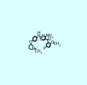 CCN1CCCC(Oc2ccc(Nc3ncc(C(=O)c4cc(F)ccc4OC)c(N)n3)cc2)C1